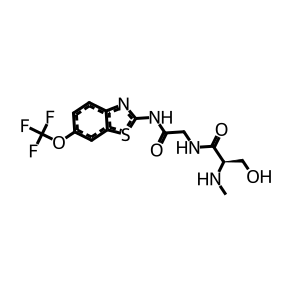 CN[C@H](CO)C(=O)NCC(=O)Nc1nc2ccc(OC(F)(F)F)cc2s1